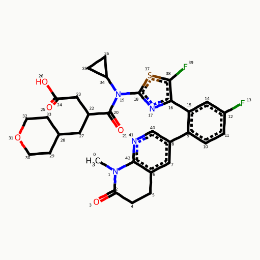 CN1C(=O)CCc2cc(-c3ccc(F)cc3-c3nc(N(C(=O)C(CC(=O)O)CC4CCOCC4)C4CC4)sc3F)cnc21